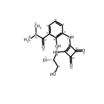 CC[C@@H](CO)Nc1c(Nc2cccc(C(=O)N(C)C)c2O)c(=O)c1=O